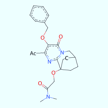 CC(=O)c1nc2n(c(=O)c1OCc1ccccc1)CC1CCC2(OCC(=O)N(C)C)CC1